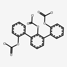 O=C(Cl)Oc1ccccc1-c1cccc(-c2ccccc2OC(=O)Cl)c1OC(=O)Cl